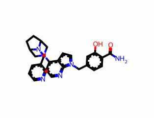 NC(=O)c1ccc(Cn2ccc3c(N4CC5CCC(C4)N5Cc4cccnc4)ccnc32)cc1O